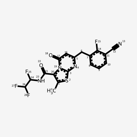 Cc1sc2nc(Cc3cccc(C#N)c3F)cc(=O)n2c1C(=O)NC(F)C(F)F